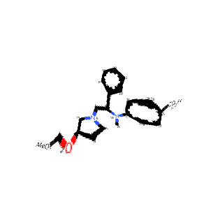 COCOC1CCN(CC(c2ccccc2)N(C)c2ccc(C(=O)O)cc2)C1